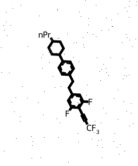 CCCC1CCC(c2ccc(CCc3cc(F)c(C#CC(F)(F)F)c(F)c3)cc2)CC1